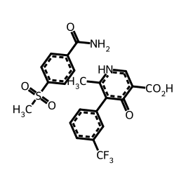 CS(=O)(=O)c1ccc(C(N)=O)cc1.Cc1[nH]cc(C(=O)O)c(=O)c1-c1cccc(C(F)(F)F)c1